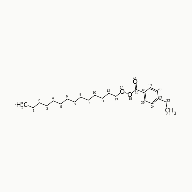 [CH2]CCCCCCCCCCCCCOOC(=O)c1ccc(CC)cc1